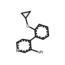 CCCc1cnccc1-c1ccccc1OC1CC1